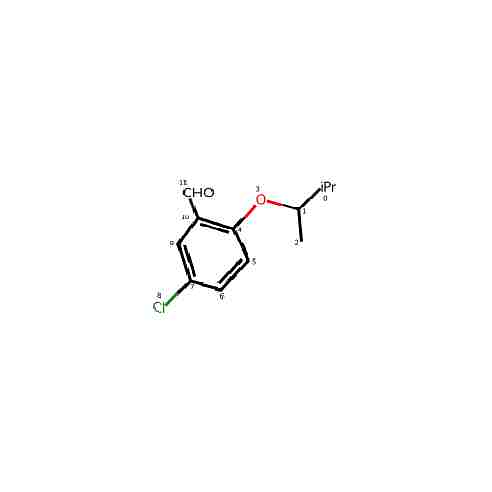 CC(C)C(C)Oc1ccc(Cl)cc1C=O